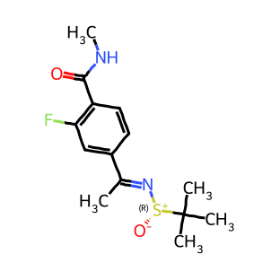 CNC(=O)c1ccc(C(C)=N[S@@+]([O-])C(C)(C)C)cc1F